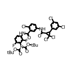 CC(C)(C)OC(=O)N(C(=O)OC(C)(C)C)c1c(F)ccc(NC(=O)c2cc(NC(=O)C3C(c4cc(Cl)cc(Cl)c4)C3(Cl)Cl)ccc2Cl)c1F